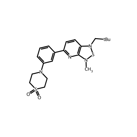 CN1SN(CC(C)(C)C)c2ccc(-c3cccc(N4CCS(=O)(=O)CC4)c3)nc21